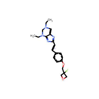 CCN1C=C2N=C(/C=C/c3ccc(OCC4(F)COC4)cc3)N=C2N(CC)C1